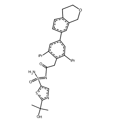 CC(C)c1cc(-c2ccc3c(c2)COCC3)cc(C(C)C)c1CC(=O)N=S(N)(=O)c1cnc(C(C)(C)O)s1